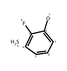 S.[O]c1ccccc1F